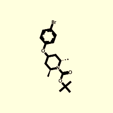 C[C@H]1CC(Oc2ccc(Br)cc2)C[C@H](C)N1C(=O)OC(C)(C)C